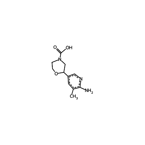 Cc1cc(C2CN(C(=O)O)CCO2)cnc1N